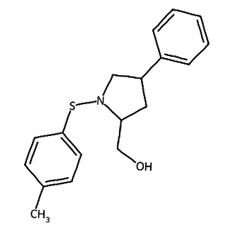 Cc1ccc(SN2CC(c3ccccc3)CC2CO)cc1